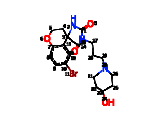 O=C1NC2(CCOc3ccc(Br)cc32)C(=O)N1CCCN1CCC(O)CC1